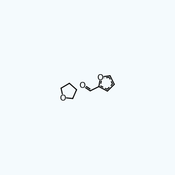 C1CCOC1.O=Cc1ccco1